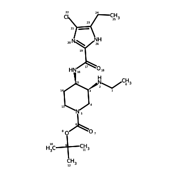 CCN[C@H]1CN(C(=O)OC(C)(C)C)CC[C@H]1NC(=O)c1nc(Cl)c(CC)[nH]1